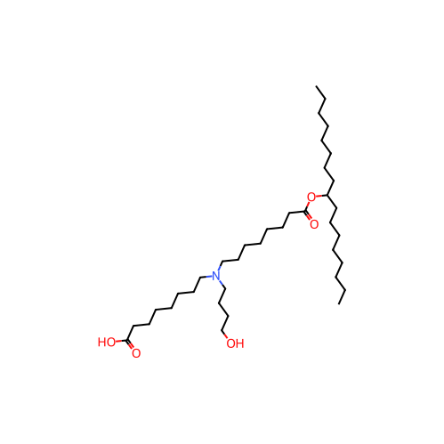 CCCCCCCCC(CCCCCCCC)OC(=O)CCCCCCCN(CCCCO)CCCCCCCC(=O)O